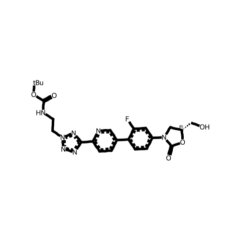 CC(C)(C)OC(=O)NCCn1nnc(-c2ccc(-c3ccc(N4C[C@H](CO)OC4=O)cc3F)cn2)n1